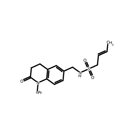 CC=CCS(=O)(=O)NCc1ccc2c(c1)CCC(=O)N2CCC